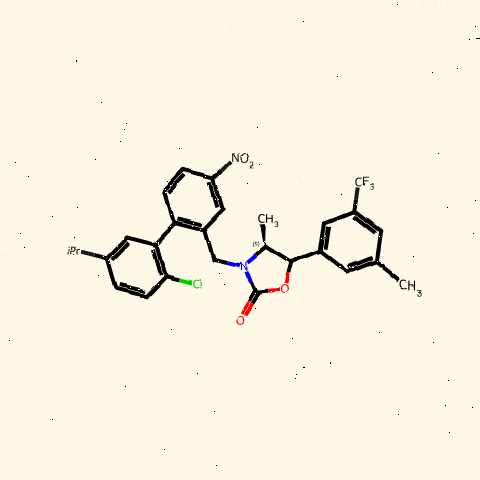 Cc1cc(C2OC(=O)N(Cc3cc([N+](=O)[O-])ccc3-c3cc(C(C)C)ccc3Cl)[C@H]2C)cc(C(F)(F)F)c1